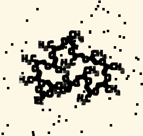 C=CC(=O)OCC(C)OCC(C)OCC(C)OCC(C)OCC(C)OCC(C)OCC(C)OCC(C)OCC(C)OCC(C)OCC(C)OCC(C)OC(=O)CC